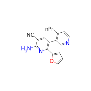 CCCc1ccncc1-c1cc(C#N)c(N)nc1-c1ccco1